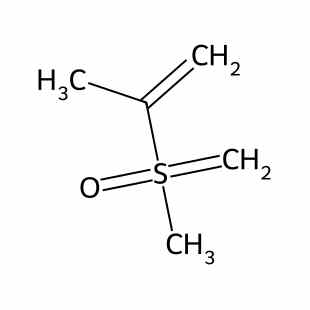 C=C(C)S(=C)(C)=O